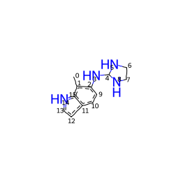 Cc1c(NC2NCCN2)ccc2cc[nH]c12